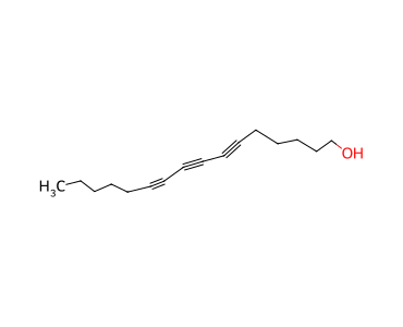 CCCCCC#CC#CC#CCCCCCO